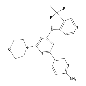 Nc1ccc(-c2cc(Nc3ccncc3C(F)(F)F)nc(N3CCOCC3)n2)cn1